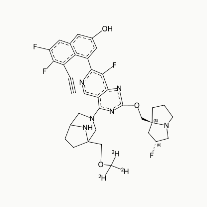 [2H]C([2H])([2H])OCC12CCC(CN(c3nc(OC[C@@]45CCCN4C[C@H](F)C5)nc4c(F)c(-c5cc(O)cc6cc(F)c(F)c(C#C)c56)ncc34)C1)N2